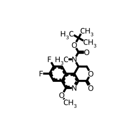 COc1nc2c(c3cc(F)c(F)cc13)C(N(C)C(=O)OC(C)(C)C)COC2=O